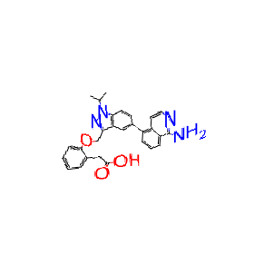 CC(C)n1nc(COc2ccccc2CC(=O)O)c2cc(-c3cccc4c(N)nccc34)ccc21